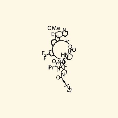 CCn1c(-c2cccnc2[C@H](C)OC)c2c3cc(ccc31)-c1cc(cc(C(F)F)c1)C[C@H](NC(=O)[C@H](C(C)C)N(C)C(=O)[C@@]1(F)CCN(C(=O)C#CC(C)(C)N3CCC3)C1)C(=O)N1CCC[C@H](N1)C(=O)OCC(C)(C)C2